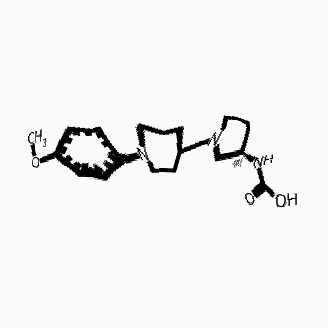 COc1ccc(N2CCC(N3CC[C@@H](NC(=O)O)C3)CC2)cc1